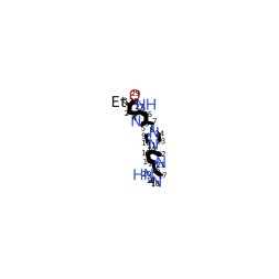 CCc1cc2ncc(CN3CCN(c4ccc(-c5cnc[nH]5)nc4)CC3)cc2[nH]c1=O